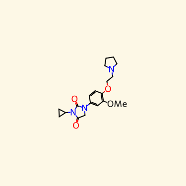 COc1cc(N2CC(=O)N(C3CC3)C2=O)ccc1OCCN1CCCC1